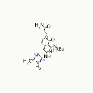 C=C/C=N\C(=C/N)Nc1cc2ccn(CCC(N)=O)c(=O)c2c(NC(C)(C)C)n1